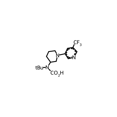 CC(C)(C)N(C(=O)O)C1CCCN(c2cncc(C(F)(F)F)c2)C1